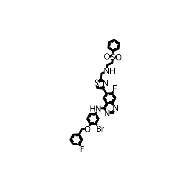 O=S(=O)(CCNCc1nc(-c2cc3c(Nc4ccc(OCc5cccc(F)c5)c(Br)c4)ncnc3cc2F)cs1)c1ccccc1